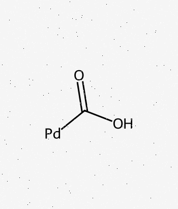 O=[C](O)[Pd]